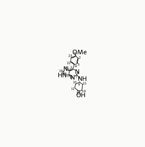 COc1ccc(-c2nc(N[C@H]3CC[C@H](O)CC3)nc3[nH]cnc23)cc1